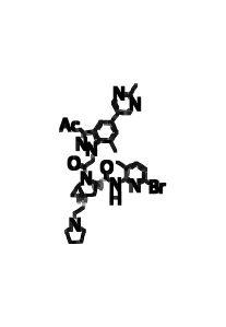 CC(=O)c1nn(CC(=O)N2C3C[C@]3(CCN3CCCC3)C[C@H]2C(=O)Nc2nc(Br)ccc2C)c2c(C)cc(-c3cnc(C)nc3)cc12